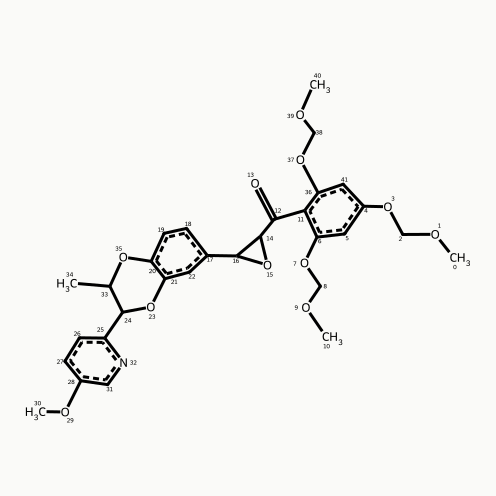 COCOc1cc(OCOC)c(C(=O)C2OC2c2ccc3c(c2)OC(c2ccc(OC)cn2)C(C)O3)c(OCOC)c1